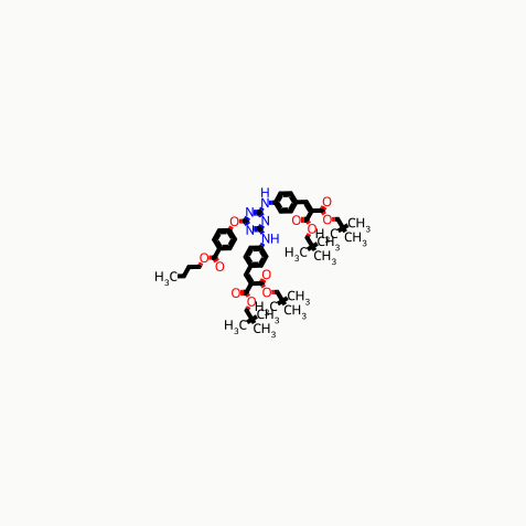 CCCCOC(=O)c1ccc(Oc2nc(Nc3ccc(C=C(C(=O)OCC(C)(C)C)C(=O)OCC(C)(C)C)cc3)nc(Nc3ccc(C=C(C(=O)OCC(C)(C)C)C(=O)OCC(C)(C)C)cc3)n2)cc1